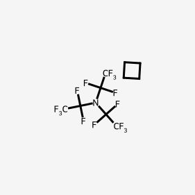 C1CCC1.FC(F)(F)C(F)(F)N(C(F)(F)C(F)(F)F)C(F)(F)C(F)(F)F